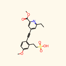 CCc1cc(C#Cc2ccc(OC)cc2CCS(=O)(=O)O)cc(C(=O)OC)n1